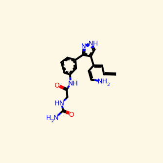 C=C/C=C(\C=C/N)c1c[nH]nc1-c1cccc(NC(=O)CNC(N)=O)c1